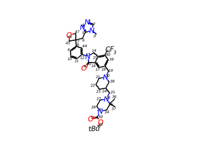 Cn1cnnc1CC1(c2cccc(N3Cc4c(cc(CN5CCCC(CN6CCN(C(=O)OC(C)(C)C)CC6(C)C)C5)cc4C(F)(F)F)C3=O)c2)COC1